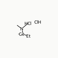 C[CH2][Ge][N](C)C.Cl.Cl